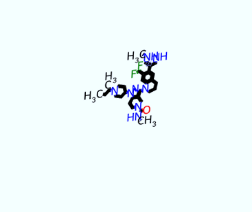 CCC(C)N1CCC(n2nc(N3CCCc4cc(/C(C=N)=C/NC)c(C(F)F)cc43)c3c2CCN(C(=O)NC)C3)CC1